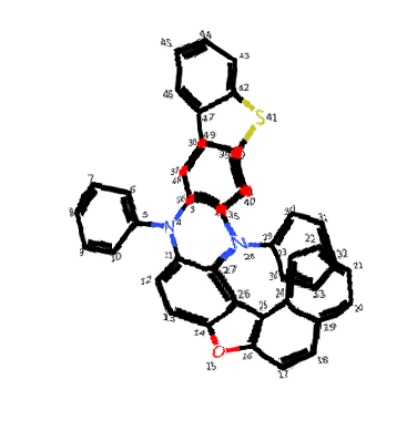 c1ccc(N(c2ccccc2)c2ccc3oc4ccc5ccccc5c4c3c2N(c2ccccc2)c2ccc3c(c2)sc2ccccc23)cc1